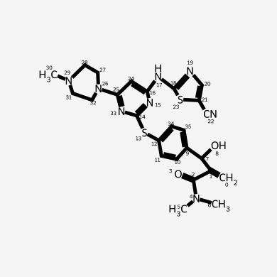 C=C(C(=O)N(C)C)C(O)c1ccc(Sc2nc(Nc3ncc(C#N)s3)cc(N3CCN(C)CC3)n2)cc1